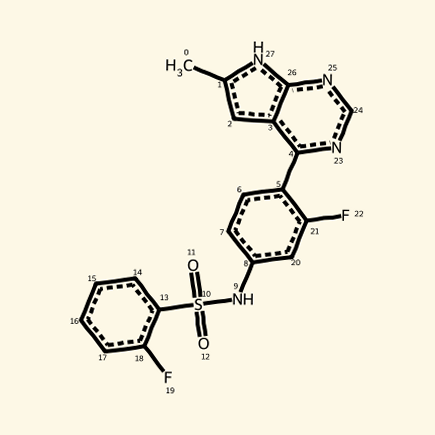 Cc1cc2c(-c3ccc(NS(=O)(=O)c4ccccc4F)cc3F)ncnc2[nH]1